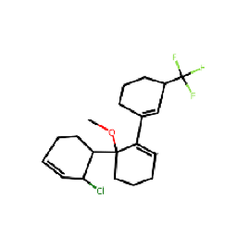 COC1(C2CCC=CC2Cl)CCC[C]=C1C1=CC(C(F)(F)F)CCC1